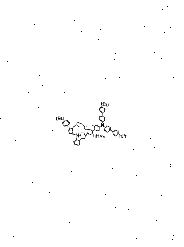 CCCCCCc1cc2c(cc1-c1ccc(N(c3ccc(-c4ccc(CCC)cc4)cc3)c3ccc(-c4ccc(C(C)(C)C)cc4)cc3)cc1C)CCCCCc1cc(ccc1-c1ccc(C(C)(C)C)cc1)-n1c3ccccc3c3cc-2ccc31